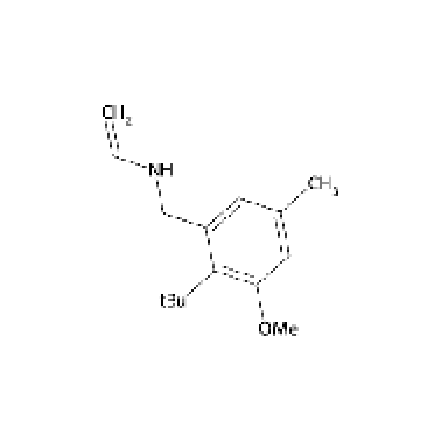 C=CNCc1cc(C)cc(OC)c1C(C)(C)C